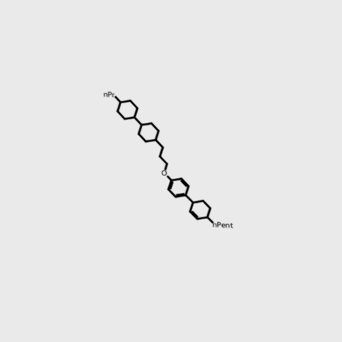 CCCCCC1C=CC(c2ccc(OCCCC3CCC(C4CCC(CCC)CC4)CC3)cc2)CC1